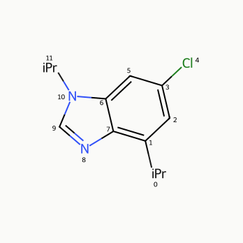 CC(C)c1cc(Cl)cc2c1ncn2C(C)C